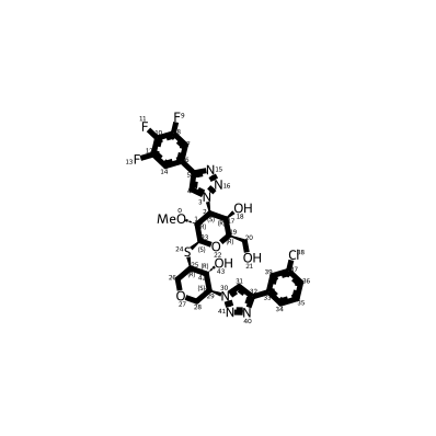 CO[C@@H]1[C@@H](n2cc(-c3cc(F)c(F)c(F)c3)nn2)[C@@H](O)[C@@H](CO)O[C@H]1S[C@@H]1COC[C@H](n2cc(-c3cccc(Cl)c3)nn2)[C@H]1O